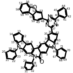 O=c1c2cc3c(cc2c2cc4c5ccccc5n(-c5ccccc5)c4cc2n1-c1ccccc1)c1cc(-c2nc(-c4ccccc4)nc(-c4ccc5c(c4)oc4ccccc45)n2)ccc1n3-c1ccccc1